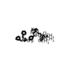 CC(C)NC(=O)N(CCn1ccc2ncnc(Nc3ccc(OC4=CN(Cc5ccccc5)S(Cc5ccccc5)=C4)c(F)c3)c21)OS(C)(=O)=O